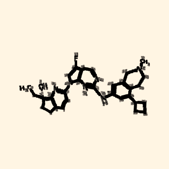 CC[C@]1(O)CCc2ccc(-n3cc(F)c4cnc(Nc5cc6c(c(C7CCC7)c5)CCN(C)C6)nc43)nc21